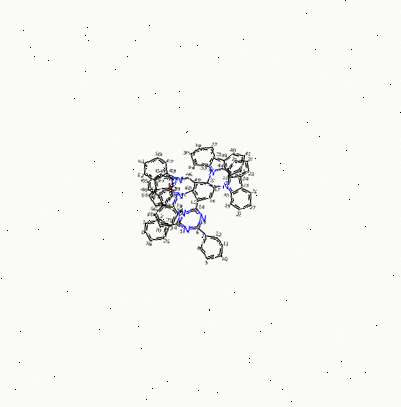 c1ccc(-c2nc(-c3ccccc3)nc(-c3cc(-n4c5ccccc5c5ccccc54)c(-n4c5ccccc5c5ccccc54)c(Cn4c5ccccc5c5ccccc54)c3-n3c4ccccc4c4ccccc43)n2)cc1